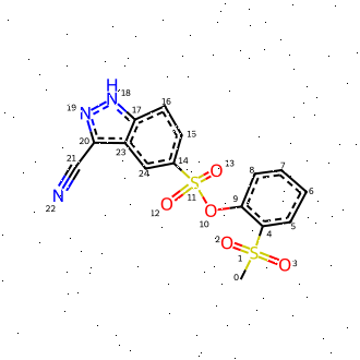 CS(=O)(=O)c1ccccc1OS(=O)(=O)c1ccc2[nH]nc(C#N)c2c1